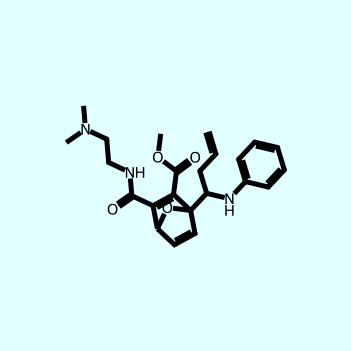 C=CCC(Nc1ccccc1)C12C=CC(O1)C(C(=O)NCCN(C)C)=C2C(=O)OC